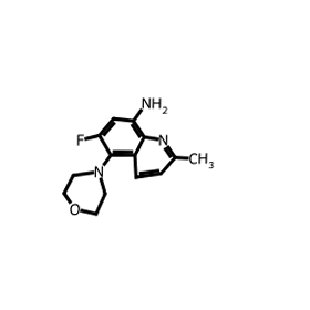 Cc1ccc2c(N3CCOCC3)c(F)cc(N)c2n1